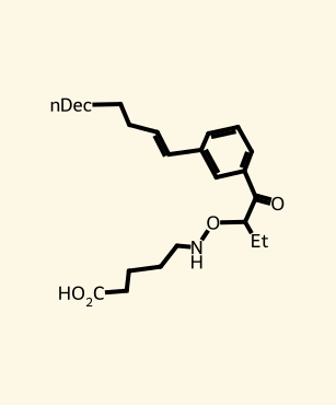 CCCCCCCCCCCCC=Cc1cccc(C(=O)C(CC)ONCCCCC(=O)O)c1